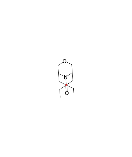 CCC(CC)N1C2COCC1CC(=O)C2